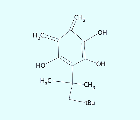 C=c1c(O)c(O)c(C(C)(C)CC(C)(C)C)c(O)c1=C